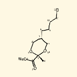 COC(=O)[C@]1(C)OC[C@H](CCCCCl)CO1